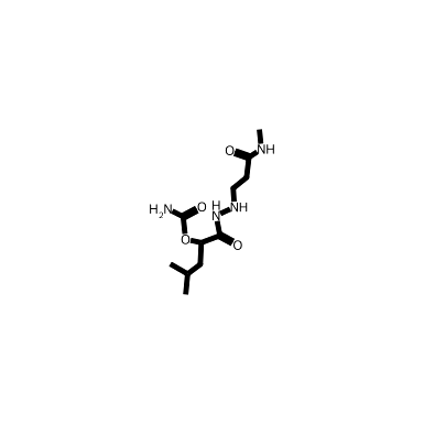 CNC(=O)CCNNC(=O)C(CC(C)C)OC(N)=O